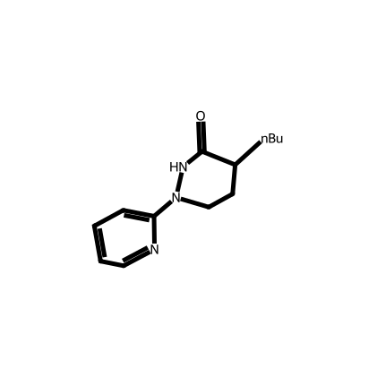 CCCCC1CCN(c2ccccn2)NC1=O